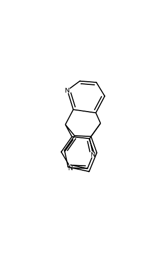 c1ccc2c(c1)C1c3cccnc3C2c2cncnc21